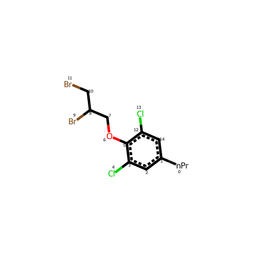 CCCc1cc(Cl)c(OCC(Br)CBr)c(Cl)c1